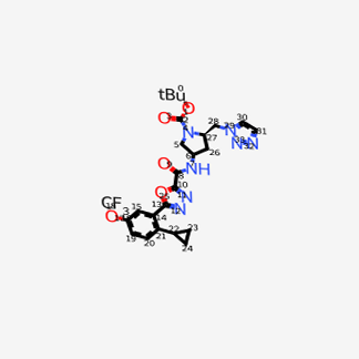 CC(C)(C)OC(=O)N1CC(NC(=O)c2nnc(-c3cc(OC(F)(F)F)ccc3C3CC3)o2)C[C@@H]1Cn1ccnn1